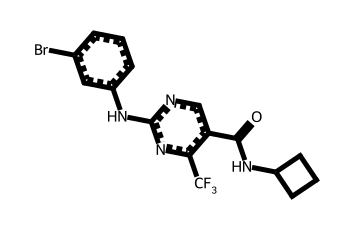 O=C(NC1CCC1)c1cnc(Nc2cccc(Br)c2)nc1C(F)(F)F